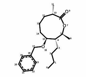 CCCC[C@H]1[C@H](C)OC(=O)[C@@H](C)CCC[C@@H]1OCc1ccccc1